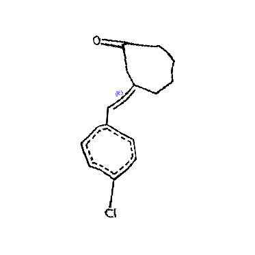 O=C1CCCC/C1=C\c1ccc(Cl)cc1